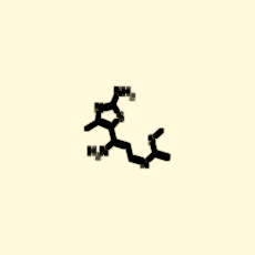 C=C(/N=C\C=C(/N)c1sc(N)nc1C)SC